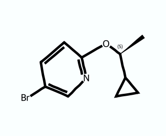 C[C@H](Oc1ccc(Br)cn1)C1CC1